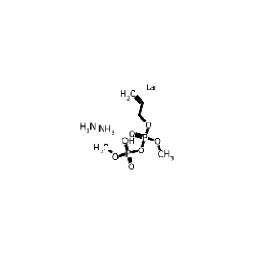 C=CCOP(=O)(OC)OP(=O)(O)OC.N.N.[La]